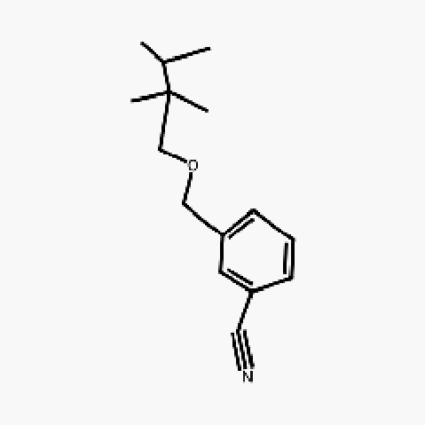 CC(C)C(C)(C)COCc1cccc(C#N)c1